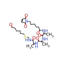 C[C@H](NC(=O)CCCCCN1C(=O)C=CC1=O)C(=O)N[C@H](C)C(=O)N[C@@H](C)C(=O)NCSCCCCCC=O